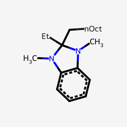 CCCCCCCCCC1(CC)N(C)c2ccccc2N1C